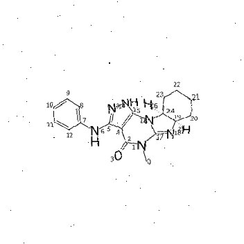 CN1C(=O)c2c(Nc3ccccc3)n[nH]c2N2C1=N[C@@H]1CCCC[C@@H]12